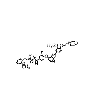 COc1ccccc1CCNC(=O)C(=O)Nc1ccc(Oc2ccnc3cc(-c4ccc(OCCN5CCOCC5)c(OC)c4)sc23)c(F)c1